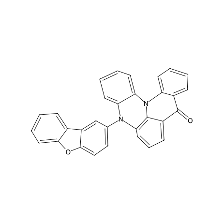 O=c1c2ccccc2n2c3c(cccc13)N(c1ccc3oc4ccccc4c3c1)c1ccccc1-2